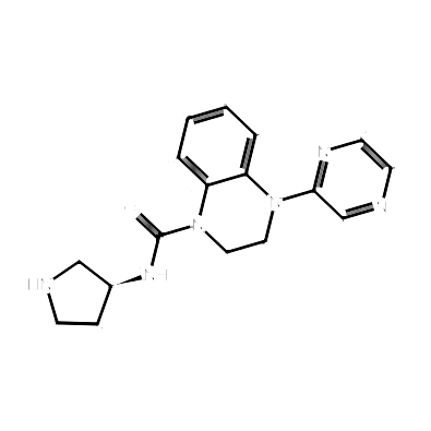 O=C(N[C@H]1CCNC1)N1CCN(c2cnccn2)c2ccccc21